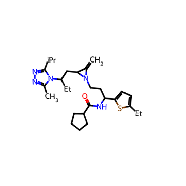 C=C1C(CC(CC)n2c(C)nnc2C(C)C)N1CCC(NC(=O)C1CCCC1)c1ccc(CC)s1